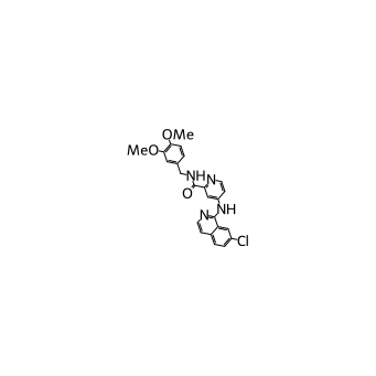 COc1ccc(CNC(=O)c2cc(Nc3nccc4ccc(Cl)cc34)ccn2)cc1OC